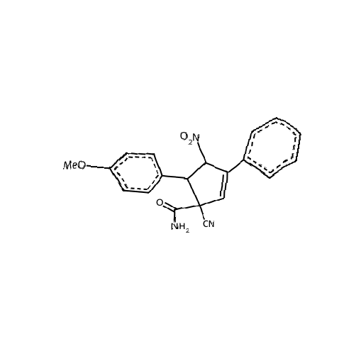 COc1ccc(C2C([N+](=O)[O-])C(c3ccccc3)=CC2(C#N)C(N)=O)cc1